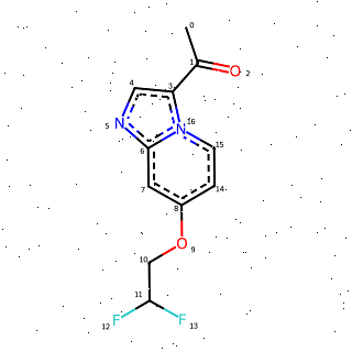 CC(=O)c1cnc2cc(OCC(F)F)ccn12